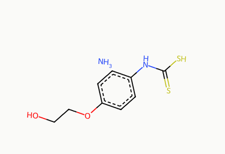 N.OCCOc1ccc(NC(=S)S)cc1